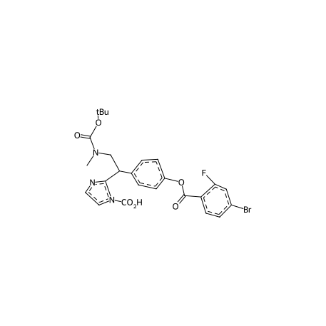 CN(CC(c1ccc(OC(=O)c2ccc(Br)cc2F)cc1)c1nccn1C(=O)O)C(=O)OC(C)(C)C